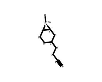 C#CCCC1CCC2C(C1)N2C